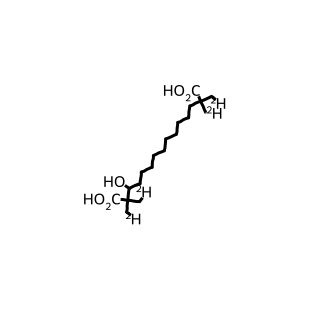 [2H]CC(C[2H])(CCCCCCCCCCC(O)C(C[2H])(C[2H])C(=O)O)C(=O)O